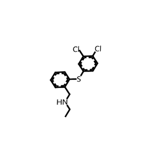 CCNCc1ccccc1Sc1ccc(Cl)c(Cl)c1